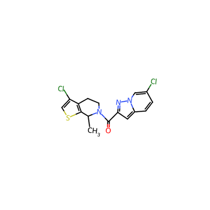 CC1c2scc(Cl)c2CCN1C(=O)c1cc2ccc(Cl)cn2n1